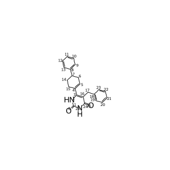 O=c1[nH]c(C2=CCC(c3ccccc3)CC2)c(Cc2ccccc2)c(=O)[nH]1